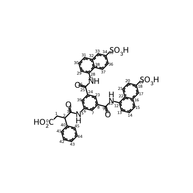 O=C(O)CC(C(=O)Nc1cc(C(=O)Nc2cccc3cc(S(=O)(=O)O)ccc23)cc(C(=O)Nc2cccc3cc(S(=O)(=O)O)ccc23)c1)c1ccccc1